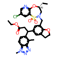 CCOC(=O)CC(c1cc2c(c(CN3C[C@@H](CC)Oc4ncc(Cl)cc4S3(=O)=O)c1)OCC2)c1ccc2c(nnn2C)c1C